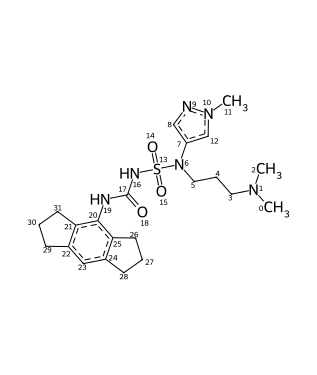 CN(C)CCCN(c1cnn(C)c1)S(=O)(=O)NC(=O)Nc1c2c(cc3c1CCC3)CCC2